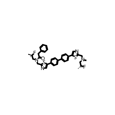 C[C@@H](F)CN(C)Cc1ncc(-c2ccc(-c3ccc(-c4cnc(CN(C[C@@H](C)F)C(=O)Cc5ccccc5)s4)cc3)cc2)s1